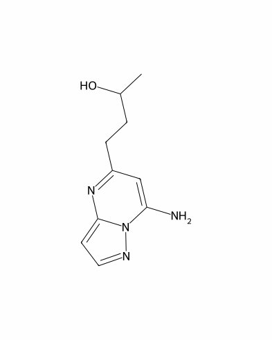 CC(O)CCc1cc(N)n2nccc2n1